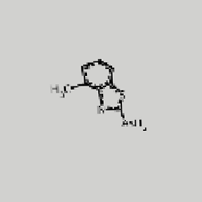 Cc1cccc2sc([AsH2])nc12